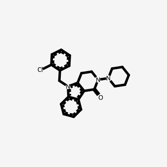 O=C1c2c(n(Cc3ccccc3Cl)c3ccccc23)CCN1N1CCCCC1